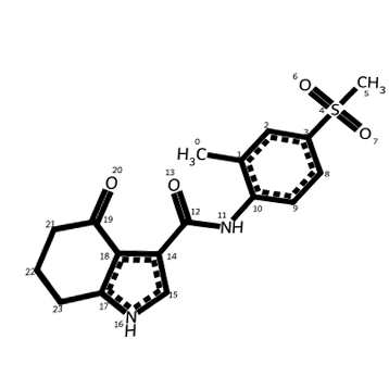 Cc1cc(S(C)(=O)=O)ccc1NC(=O)c1c[nH]c2c1C(=O)CCC2